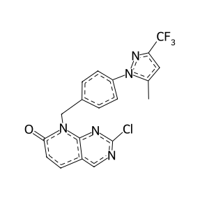 Cc1cc(C(F)(F)F)nn1-c1ccc(Cn2c(=O)ccc3cnc(Cl)nc32)cc1